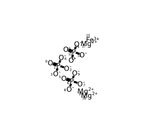 O=P([O-])([O-])[O-].O=P([O-])([O-])[O-].O=P([O-])([O-])[O-].[Fe+3].[Mg+2].[Mg+2].[Mg+2]